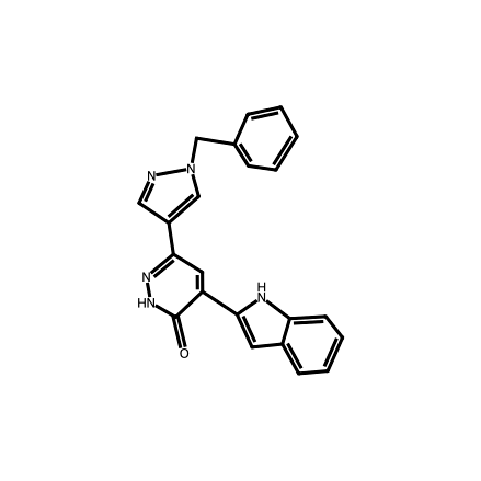 O=c1[nH]nc(-c2cnn(Cc3ccccc3)c2)cc1-c1cc2ccccc2[nH]1